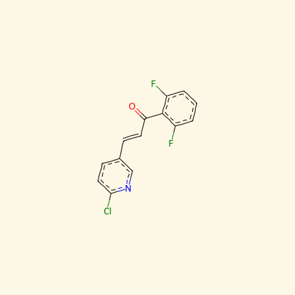 O=C(C=Cc1ccc(Cl)nc1)c1c(F)cccc1F